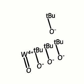 CC(C)(C)[O-].CC(C)(C)[O-].CC(C)(C)[O-].CC(C)(C)[O-].[O]=[W+4]